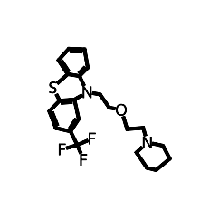 FC(F)(F)c1ccc2c(c1)N(CCOCCN1CCCCC1)c1ccccc1S2